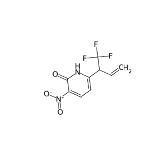 C=CC(c1ccc([N+](=O)[O-])c(=O)[nH]1)C(F)(F)F